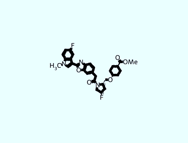 COC(=O)[C@H]1CC[C@H](OC[C@@H]2C[C@H](F)CN2C(=O)Cc2ccc3nc(-c4cn(C)c5ccc(F)cc45)oc3c2)CC1